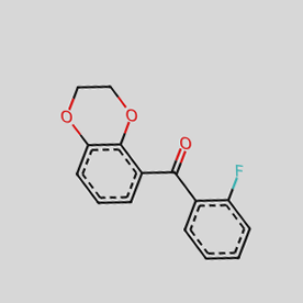 O=C(c1ccccc1F)c1cccc2c1OCCO2